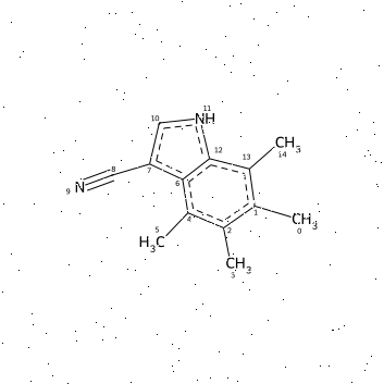 Cc1c(C)c(C)c2c(C#N)c[nH]c2c1C